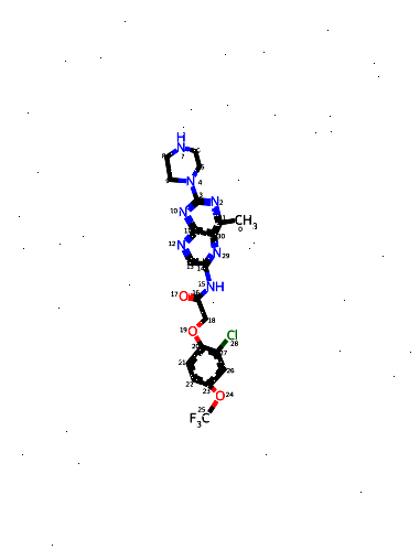 Cc1nc(N2CCNCC2)nc2ncc(NC(=O)COc3ccc(OC(F)(F)F)cc3Cl)nc12